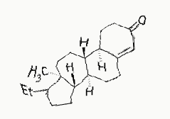 CC[C]1CC[C@H]2[C@@H]3CCC4=CC(=O)CC[C@@H]4[C@H]3CC[C@]12C